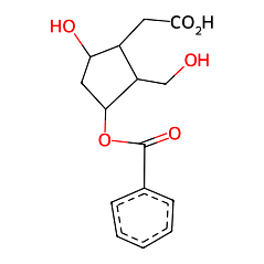 O=C(O)CC1C(O)CC(OC(=O)c2ccccc2)C1CO